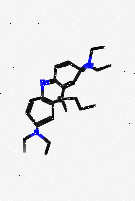 CCC[Si]1(C)C2=CC(=[N+](CC)CC)C=CC2=Nc2ccc(N(CC)CC)cc21